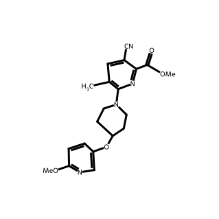 COC(=O)c1nc(N2CCC(Oc3ccc(OC)nc3)CC2)c(C)cc1C#N